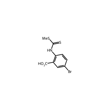 CSC(=S)Nc1ccc(Br)cc1C(=O)O